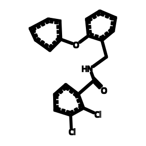 O=C(NCc1ccccc1Oc1ccccc1)c1cccc(Cl)c1Cl